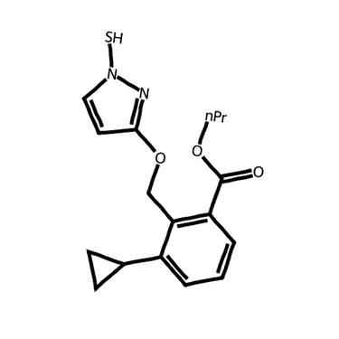 CCCOC(=O)c1cccc(C2CC2)c1COc1ccn(S)n1